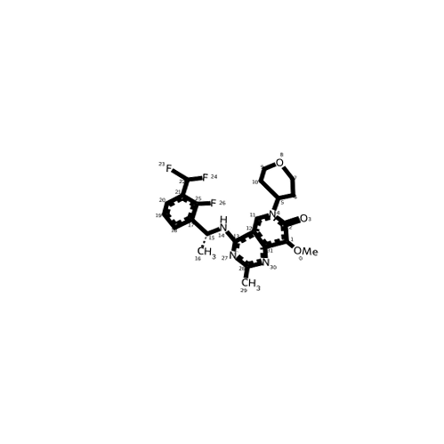 COc1c(=O)n(C2CCOCC2)cc2c(N[C@H](C)c3cccc(C(F)F)c3F)nc(C)nc12